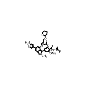 COc1cc(-c2c3c(OCCCOC4CCCCO4)cc(-c4cnn(C)c4)cc3nn2C)cc(OC(F)F)c1C(=O)N[C@@H]1C[C@@H]1F